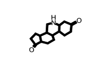 O=C1CCC2C(C1)NCC1C3CCC(=O)C3CCC21